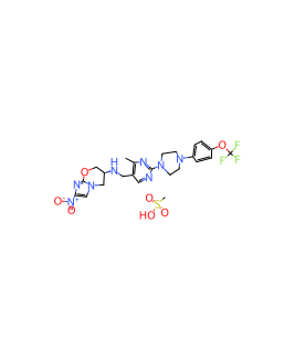 CS(=O)(=O)O.Cc1nc(N2CCN(c3ccc(OC(F)(F)F)cc3)CC2)ncc1CN[C@@H]1COc2nc([N+](=O)[O-])cn2C1